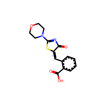 O=C1N=C(N2CCOCC2)S/C1=C/c1ccccc1C(=O)O